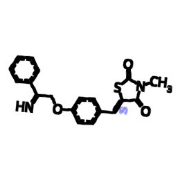 CN1C(=O)S/C(=C\c2ccc(OCC(=N)c3ccccc3)cc2)C1=O